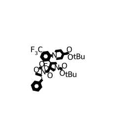 CC(C)(C)OC(=O)C1CCN(c2cc(C(F)(F)F)ccc2[C@H]2CN(C(=O)OC(C)(C)C)C[C@]2(F)C(=O)N2C(=O)OC[C@H]2Cc2ccccc2)CC1